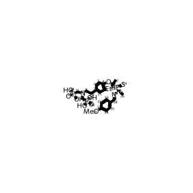 CCC(C)(Oc1ccc(CCN(CP(=O)(O)O)CP(=O)(O)O)cc1)[PH](=S)N(C)N=Cc1ccc(OC)cc1